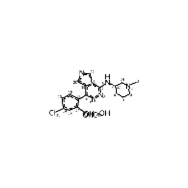 CN1CCC[C@@H](Nc2nnc(-c3ccc(Cl)cc3O)c3cncn23)C1.O=CO